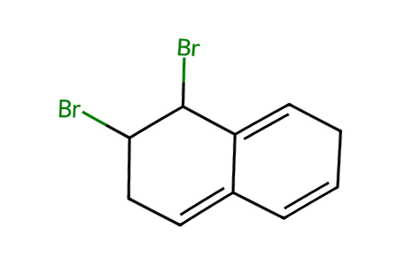 BrC1CC=C2C=CCC=C2C1Br